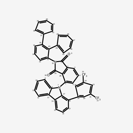 O=C1c2cccc(-n3c4ccccc4c4cccc(-c5cc(C(F)(F)F)cc(C(F)(F)F)c5)c43)c2C(=O)N1c1cccc(-c2ccccc2)c1-c1ccccc1